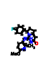 COc1ccc(/N=c2\[nH]c(=O)cc3n2C(c2ccc(F)cc2)CC3)c(C)n1